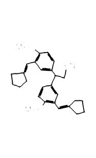 COc1ccc(C(CC#N)c2ccc(OC)c(C=C3CCCC3)c2)cc1C=C1CCCC1